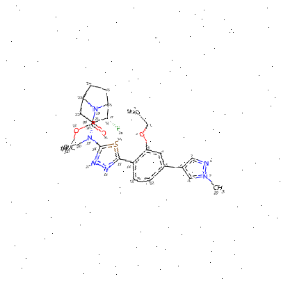 COCOc1cc(-c2cnn(C)c2)ccc1-c1nnc(N(C)[C@@H]2CC3CCC([C@@H]2F)N3C(=O)OC(C)(C)C)s1